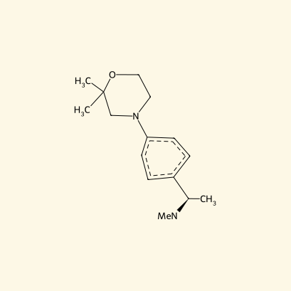 CN[C@H](C)c1ccc(N2CCOC(C)(C)C2)cc1